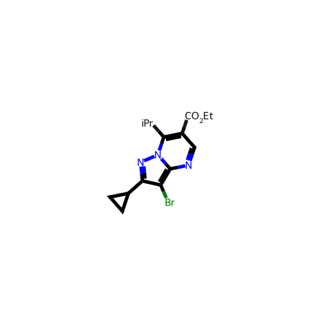 CCOC(=O)c1cnc2c(Br)c(C3CC3)nn2c1C(C)C